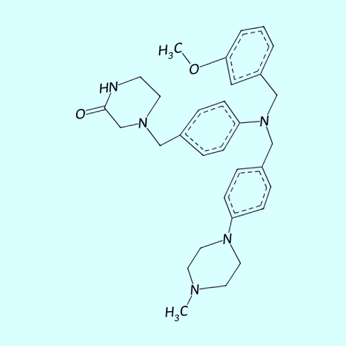 COc1cccc(CN(Cc2ccc(N3CCN(C)CC3)cc2)c2ccc(CN3CCNC(=O)C3)cc2)c1